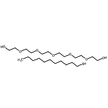 CCCCCCCCCCCS.OCCOCCOCCOCCOCCOCCO